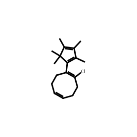 CC1=C(C)C(C)(C)C(/C2=C(\Cl)CC/C=C\CC2)=C1C